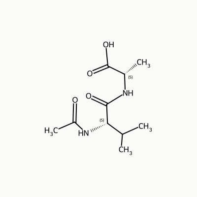 CC(=O)N[C@H](C(=O)N[C@@H](C)C(=O)O)C(C)C